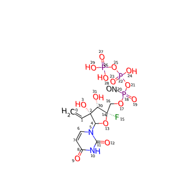 C=C[C@]1(O)C(n2ccc(=O)[nH]c2=O)O[C@](F)(COP(=O)(N=O)OP(=O)(O)OP(=O)(O)O)[C@H]1O